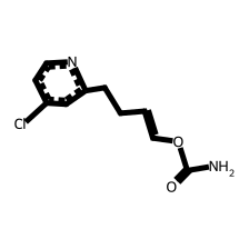 NC(=O)OC=CCCc1cc(Cl)ccn1